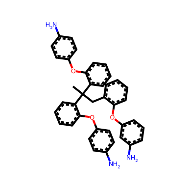 CC(Cc1ccccc1Oc1cccc(N)c1)(c1ccccc1Oc1ccc(N)cc1)c1ccccc1Oc1ccc(N)cc1